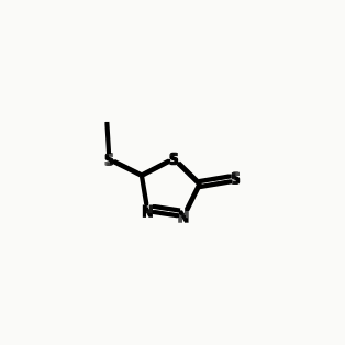 CSC1N=NC(=S)S1